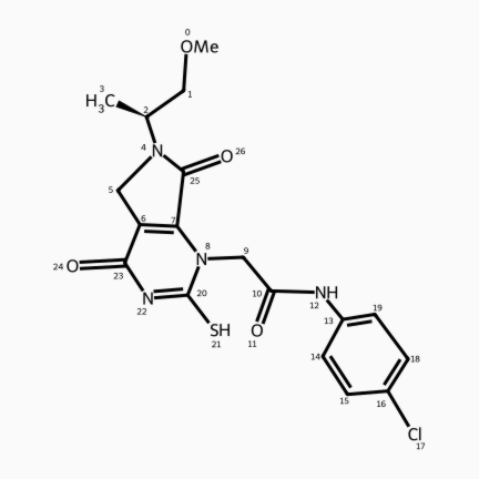 COC[C@H](C)N1Cc2c(n(CC(=O)Nc3ccc(Cl)cc3)c(S)nc2=O)C1=O